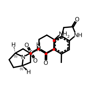 Cc1cc2c(cc1C(=O)NC1C[C@@H]3CC[C@@H](C1)N3S(=O)(=O)N1CCC(N)CC1)CC(=O)N2